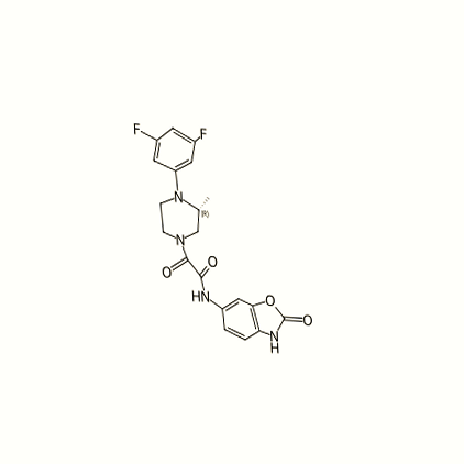 C[C@@H]1CN(C(=O)C(=O)Nc2ccc3[nH]c(=O)oc3c2)CCN1c1cc(F)cc(F)c1